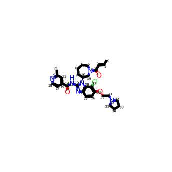 C/C=C/C(=O)N1CCCC[C@@H](n2c(NC(=O)c3ccnc(C)c3)nc3ccc(OCCN4CCCC4)c(Cl)c32)C1